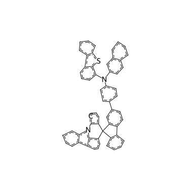 c1ccc2c(c1)-c1ccc(-c3ccc(N(c4ccc5ccccc5c4)c4cccc5c4sc4ccccc45)cc3)cc1C21c2ccccc2-n2c3ccccc3c3cccc1c32